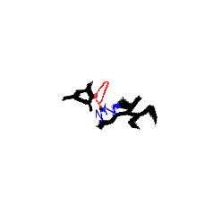 CCC(CC)c1c(C)cn2c(Oc3c(C)cc(C)cc3C)nc(C)cc12